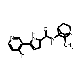 CC1C(NC(=O)c2ccc(-c3cnccc3F)[nH]2)C2CCN1CC2